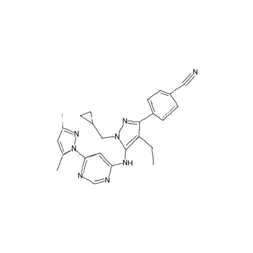 CCc1c(-c2ccc(C#N)cc2)nn(CC2CC2)c1Nc1cc(-n2nc(C)cc2C)ncn1